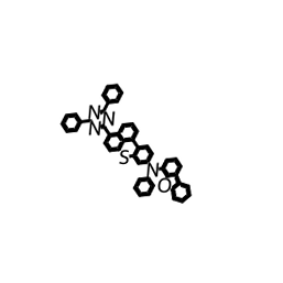 c1ccc(-c2nc(-c3ccccc3)nc(-c3ccc4c5c(cccc35)-c3ccc(N(c5ccccc5)c5cccc6c5oc5ccccc56)cc3S4)n2)cc1